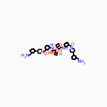 NCc1cccc(C2CCN(C(=O)c3cccc(NC(=O)C4(O)OC(C(=O)Nc5cccc(C(=O)N6CCC(c7cccc(CN)c7)CC6)c5)(C5(O)CCC5)OC45CCC5)c3)CC2)c1